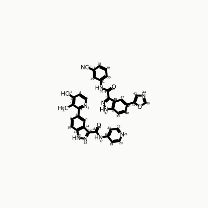 Cc1c(O)ccnc1-c1ccc2[nH]nc(C(=O)Nc3ccncc3)c2c1.N#Cc1cccc(NC(=O)c2n[nH]c3ccc(-c4cnco4)cc23)c1